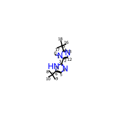 Cn1c(-c2ncc(C(C)(C)C)[nH]2)cnc1C(C)(C)C